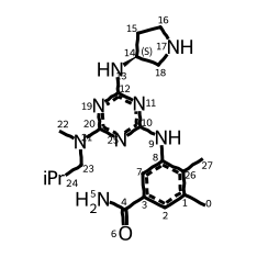 Cc1cc(C(N)=O)cc(Nc2nc(N[C@H]3CCNC3)nc(N(C)CC(C)C)n2)c1C